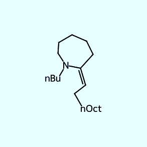 CCCCCCCCCC=C1CCCCCN1CCCC